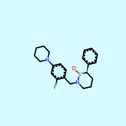 [O-][S+]1[C@@H](c2ccccc2)CCCN1Cc1ccc(N2CCCCC2)cc1F